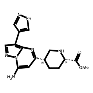 COC(=O)[C@@H]1CC[C@H](c2cc(N)n3ncc(-c4cn[nH]c4)c3n2)CN1